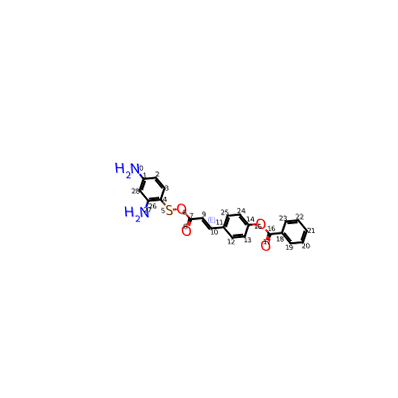 Nc1ccc(SOC(=O)/C=C/c2ccc(OC(=O)c3ccccc3)cc2)c(N)c1